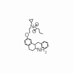 CCCS(=O)(=O)N(CCOc1ccc2c(c1)C(Cc1ccccc1)C(N)CC2)C1CC1